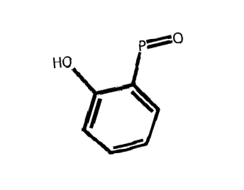 O=Pc1ccccc1O